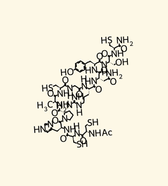 CC(=O)N[C@@H](CS)C(=O)N[C@@H](CS)C(=O)N[C@@H](Cc1c[nH]cn1)C(=O)N1CCC[C@H]1C(=O)N[C@@H](C)C(=O)N[C@@H](CS)C(=O)NCC(=O)N[C@@H](CCCNC(=N)N)C(=O)N[C@@H](CC(N)=O)C(=O)N[C@@H](Cc1ccc(O)cc1)C(=O)N[C@@H](CO)C(=O)N[C@@H](CS)C(N)=O